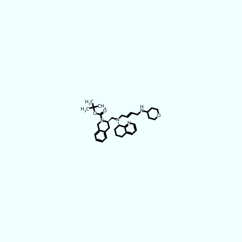 CC(C)(C)OC(=O)N1Cc2ccccc2C[C@@H]1CN(C/C=C/CNC1CCOCC1)[C@H]1CCCc2cccnc21